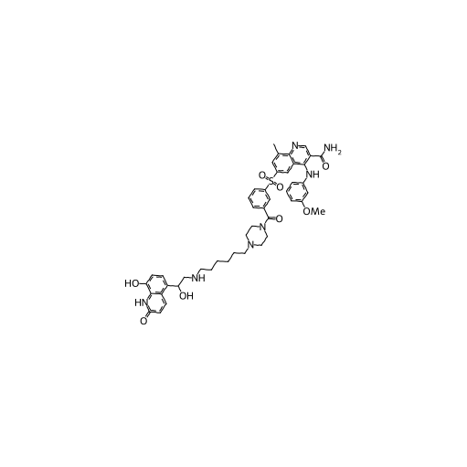 COc1cccc(Nc2c(C(N)=O)cnc3c(C)cc(S(=O)(=O)c4cccc(C(=O)N5CCN(CCCCCCNCC(O)c6ccc(O)c7[nH]c(=O)ccc67)CC5)c4)cc23)c1